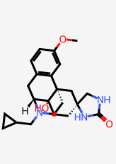 COc1ccc2c(c1)[C@]13CCN(CC4CC4)[C@H](C2)[C@]1(O)CC[C@@]1(CNC(=O)N1)C3